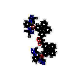 Cc1ncn(-c2cccc(-n3ccnc3)c2COc2ccc3c(c2)-c2cc(C(=O)CC(=O)c4ccc5c(c4)-c4cc(OCc6c(-n7cnc(C)c7C)cccc6-n6cnc(C)c6C)ccc4[Si]5(c4ccccc4)c4ccccc4)ccc2[Si]3(c2ccccc2)c2ccccc2)c1C